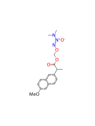 COc1ccc2cc(C(C)C(=O)OCO/N=[N+](\[O-])N(C)C)ccc2c1